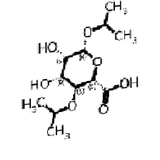 CC(C)O[C@@H]1O[C@H](C(=O)O)[C@@H](OC(C)C)[C@H](O)[C@@H]1O